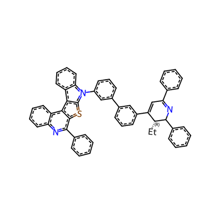 CC[C@@H]1C(c2cccc(-c3cccc(-n4c5ccccc5c5c6c(sc54)c(-c4ccccc4)nc4ccccc46)c3)c2)=CC(c2ccccc2)=NC1c1ccccc1